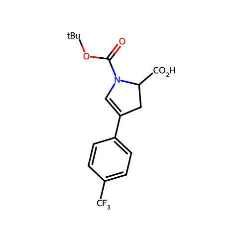 CC(C)(C)OC(=O)N1C=C(c2ccc(C(F)(F)F)cc2)CC1C(=O)O